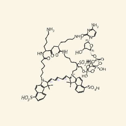 CC1(C)C(/C=C/C=C/C=C2/N(CCCCCC(=O)NC(CCCCN)C(=O)CC(CCCCN)C(=O)NCCCCCCOP(=O)(O)OP(=O)(O)OP(=O)(O)OC[C@H]3O[C@@H](n4ccc(N)nc4=O)CC3O)c3ccc4c(S(=O)(=O)O)cccc4c3C2(C)C)=[N+](CCCS(=O)(=O)O)c2ccc3c(S(=O)(=O)O)cccc3c21